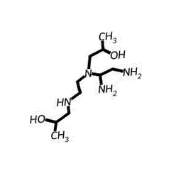 CC(O)CNCCN(CC(C)O)C(N)CN